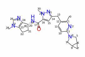 Cc1nc(N2CC3CC3C2)ccc1Cc1cc(C(=O)N[C@@H]2CCc3c2ncn3C)n(C)n1